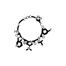 CC(C)C[C@H]1NC(=O)c2ccc(F)cc2OCc2cn(nn2)CCCCCCCCNC(=O)[C@H](Cc2cccnc2)N(C)C(=O)[C@H]2C[C@H](N(C)C)CN2C1=O